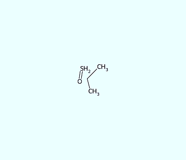 CCC.O=[SH2]